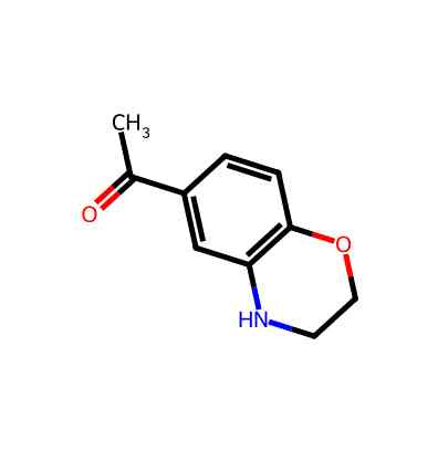 CC(=O)c1ccc2c(c1)NCCO2